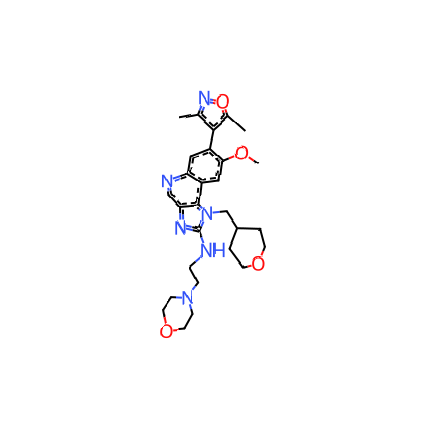 COc1cc2c(cc1-c1c(C)noc1C)ncc1nc(NCCN3CCOCC3)n(CC3CCOCC3)c12